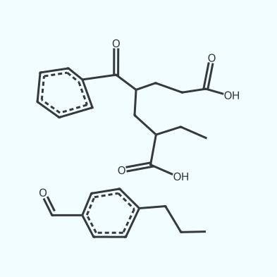 CCC(CC(CCC(=O)O)C(=O)c1ccccc1)C(=O)O.CCCc1ccc(C=O)cc1